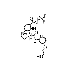 O=C(NC1CC1(F)F)C1C=CC2=C(N1)N(C(=O)Nc1cc(OCCO)ccn1)[C@H]1CCN2C1